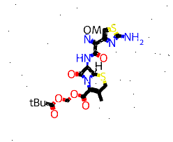 CON=C(C(=O)N[C@@H]1C(=O)N2C(C(=O)OCOC(=O)C(C)(C)C)=C(C)CS[C@H]12)c1csc(N)n1